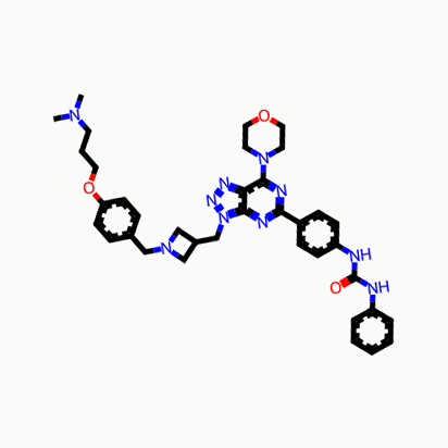 CN(C)CCCOc1ccc(CN2CC(Cn3nnc4c(N5CCOCC5)nc(-c5ccc(NC(=O)Nc6ccccc6)cc5)nc43)C2)cc1